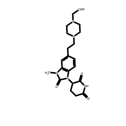 Cn1c(=O)n(C2CCC(=O)NC2=O)c2ccc(CCN3CCN(CC=O)CC3)cc21